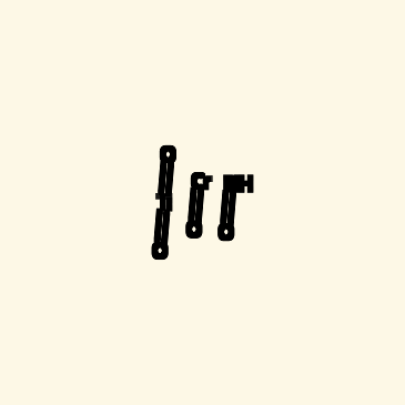 [O]=[BiH].[O]=[Cr].[O]=[Ti]=[O]